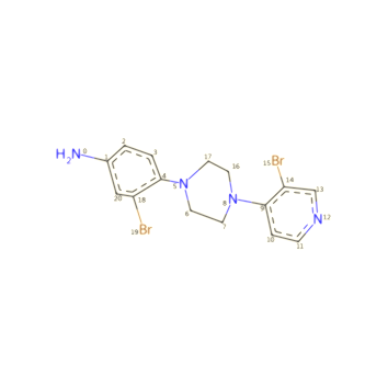 Nc1ccc(N2CCN(c3ccncc3Br)CC2)c(Br)c1